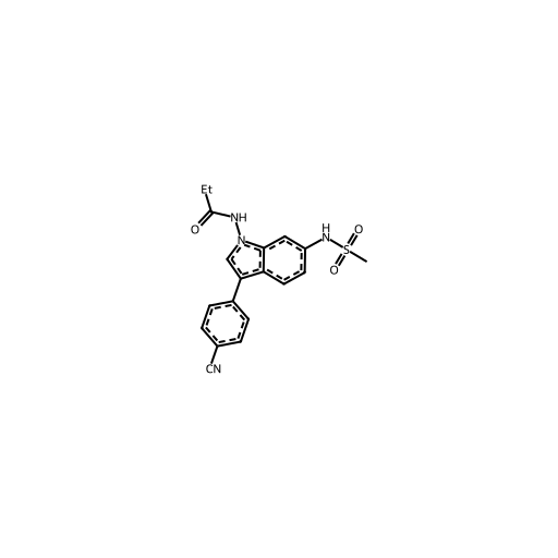 CCC(=O)Nn1cc(-c2ccc(C#N)cc2)c2ccc(NS(C)(=O)=O)cc21